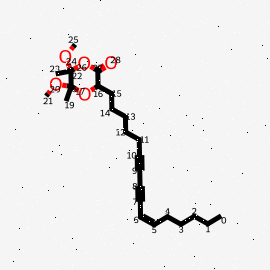 CCCCC/C=C\C#CC#CCCCCCC1OC(C)(OC)C(C)(OC)OC1=O